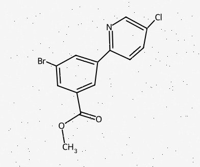 COC(=O)c1cc(Br)cc(-c2ccc(Cl)cn2)c1